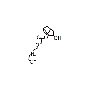 O=C(COCCN1CCOCC1)OC12CC3CC(CC(O)(C3)C1)C2